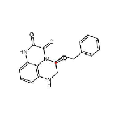 O=C1Nc2cccc3c2[N+](CCCc2ccccc2)(C(=O)CN3)C1=O